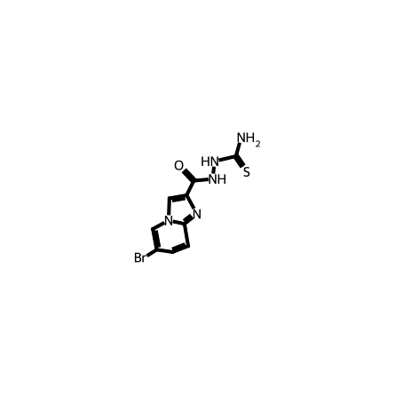 NC(=S)NNC(=O)c1cn2cc(Br)ccc2n1